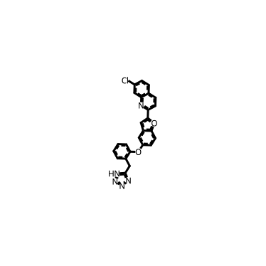 Clc1ccc2ccc(-c3cc4cc(Oc5ccccc5Cc5nnn[nH]5)ccc4o3)nc2c1